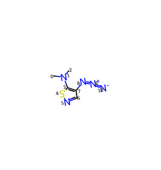 CN(C)c1sncc1N=[N+]=[N-]